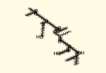 CCCCCCCCC(CCCC(CC)C(CC)CC(CCCCCC)C(=O)OCCCCCCCCCN(CCCCCCCCCOC(=O)C(CCCC)CCCCCC)CCN(C)CCCCCCCCCO)COC(=O)CCCCCCCN(CCCCCCCC(O)OCC(CCCCCC)CCCCCCCC)CCN(C)CCCCCCO